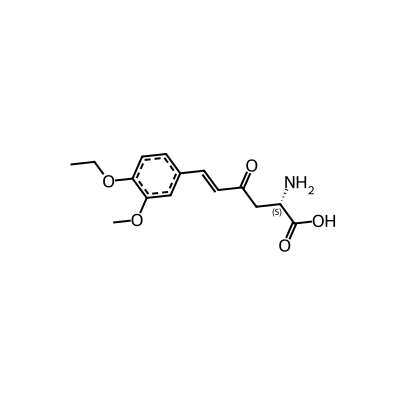 CCOc1ccc(C=CC(=O)C[C@H](N)C(=O)O)cc1OC